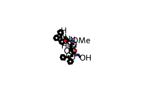 CO/N=C(\C(=O)NC1C(=O)N2C(C(=O)OC(c3ccccc3)c3ccccc3)=C(/C=C/CO)CS[C@H]12)c1csc(NC(c2ccccc2)(c2ccccc2)c2ccccc2)n1